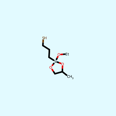 CCO[Si]1(CCCS)OCC(C)O1